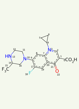 O=C(O)c1cn(C2CC2)c2cc(N3CCNC(C(F)(F)F)C3)c(F)cc2c1=O